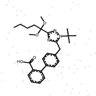 CCCCC(OC)(OC)c1nc(Cc2ccc(-c3ccccc3C(=O)O)cc2)n(C(C)(C)C)n1